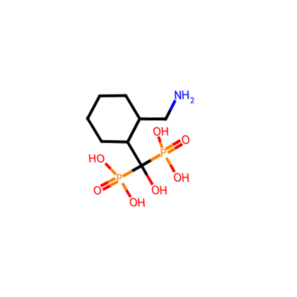 NCC1CCCCC1C(O)(P(=O)(O)O)P(=O)(O)O